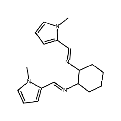 Cn1cccc1/C=N/C1CCCCC1/N=C/c1cccn1C